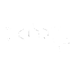 CCOC(=O)/C(=C/C1=C(C)c2cc(OC)c(OC)cc2OC1C(C)C)C(=O)CCC(C)C1CC1